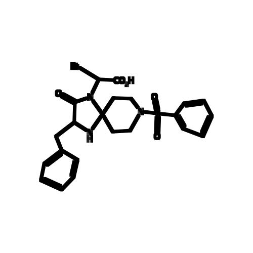 CCC(C(=O)O)N1C(=O)C(Cc2ccccc2)NC12CCN(S(=O)(=O)c1ccccc1)CC2